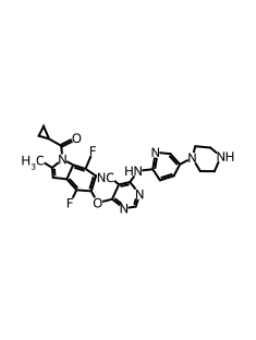 Cc1cc2c(F)c(Oc3ncnc(Nc4ccc(N5CCNCC5)cn4)c3C#N)cc(F)c2n1C(=O)C1CC1